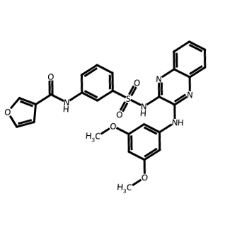 COc1cc(Nc2nc3ccccc3nc2NS(=O)(=O)c2cccc(NC(=O)c3ccoc3)c2)cc(OC)c1